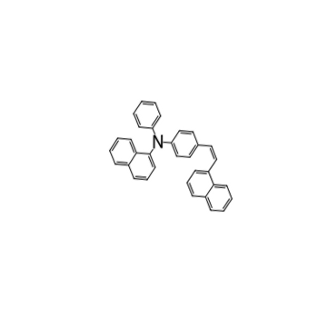 C(=C/c1cccc2ccccc12)/c1ccc(N(c2ccccc2)c2cccc3ccccc23)cc1